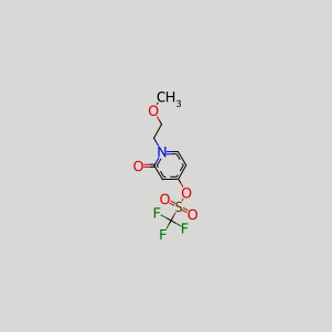 COCCn1ccc(OS(=O)(=O)C(F)(F)F)cc1=O